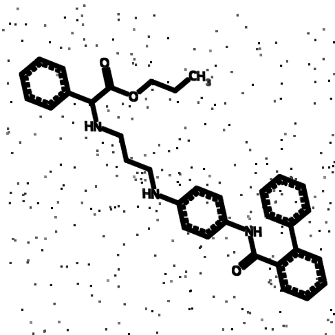 CCCOC(=O)C(NCCCNc1ccc(NC(=O)c2ccccc2-c2ccccc2)cc1)c1ccccc1